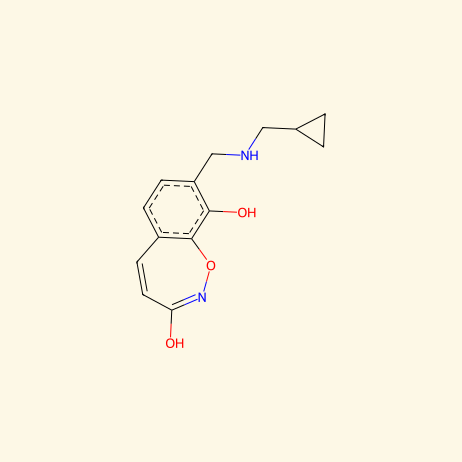 OC1=NOc2c(ccc(CNCC3CC3)c2O)C=C1